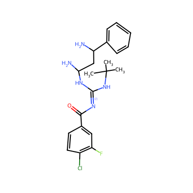 CC(C)(C)N/C(=N/C(=O)c1ccc(Cl)c(F)c1)NC(N)CC(N)c1ccccc1